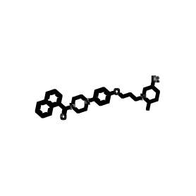 CCC1CCC(C)N(CCCOc2ccc(N3CCN(C(=O)c4cccc5ccccc45)CC3)cc2)C1